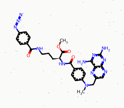 COC(=O)[C@H](CCCNC(=O)c1ccc(N=[N+]=[N-])cc1)NC(=O)c1ccc(N(C)Cc2cnc3nc(N)nc(N)c3n2)cc1